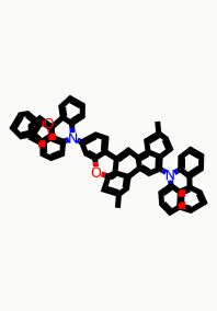 Cc1ccc2c(N(c3ccccc3)c3ccccc3-c3ccccc3)cc3c4cc(C)cc5c4c(cc3c2c1)-c1ccc(N(c2ccccc2-c2ccccc2)c2cccc3c2oc2ccccc23)cc1O5